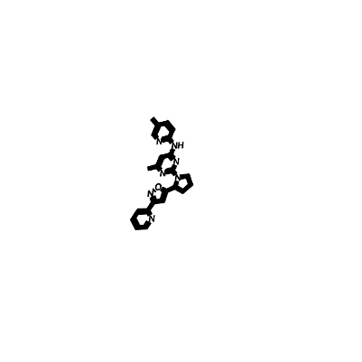 Cc1ccc(Nc2cc(C)nc(N3CCCC3c3cc(-c4ccccn4)no3)n2)nc1